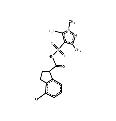 Cc1nn(C)c(C)c1S(=O)(=O)NC(=O)C1CCc2c(Cl)cccc21